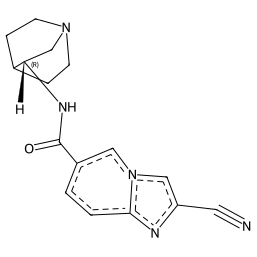 N#Cc1cn2cc(C(=O)N[C@H]3CN4CCC3CC4)ccc2n1